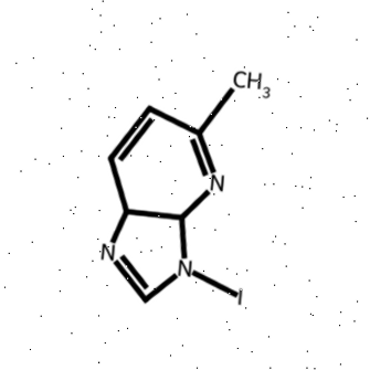 CC1=NC2C(C=C1)N=CN2I